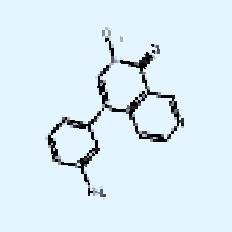 Cn1cc(-c2cccc(N)c2)c2ccncc2c1=O